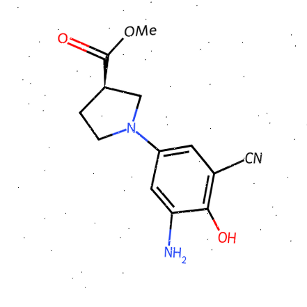 COC(=O)[C@@H]1CCN(c2cc(N)c(O)c(C#N)c2)C1